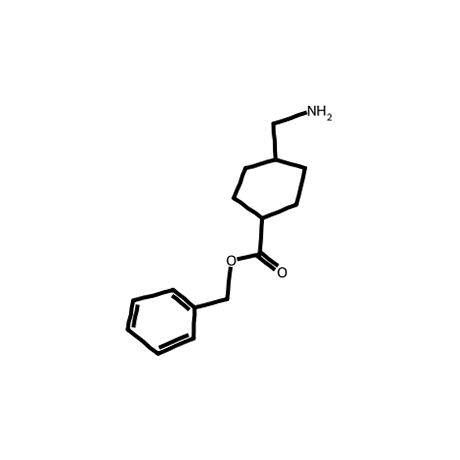 NCC1CCC(C(=O)OCc2ccccc2)CC1